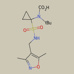 Cc1noc(C)c1CNS(=O)(=O)C1(N(C(=O)O)C(C)(C)C)CC1